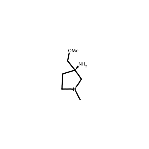 COC[C@@]1(N)CCN(C)C1